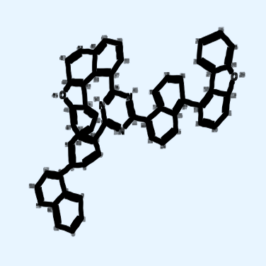 c1ccc2c(-c3ccc(-c4nc(-c5cccc6c(-c7cccc8oc9ccccc9c78)cccc56)nc(-c5cccc6ccc7oc8ccccc8c7c56)n4)cc3)cccc2c1